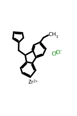 CCc1ccc2c(c1)C(CC1=CC=CC1)c1ccccc1-2.[Cl-].[Cl-].[Zr+2]